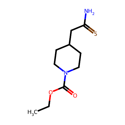 CCOC(=O)N1CCC(CC(N)=S)CC1